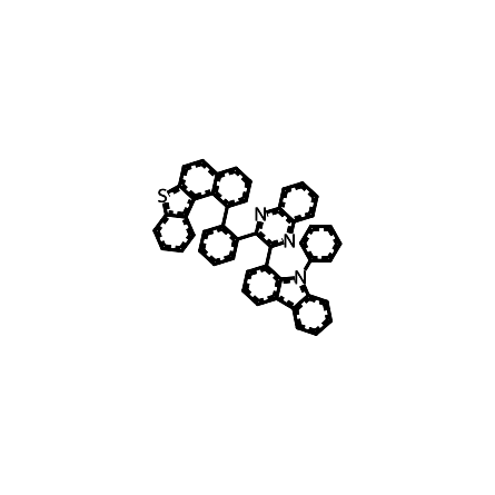 c1ccc(-n2c3ccccc3c3cccc(-c4nc5ccccc5nc4-c4ccccc4-c4cccc5ccc6sc7ccccc7c6c45)c32)cc1